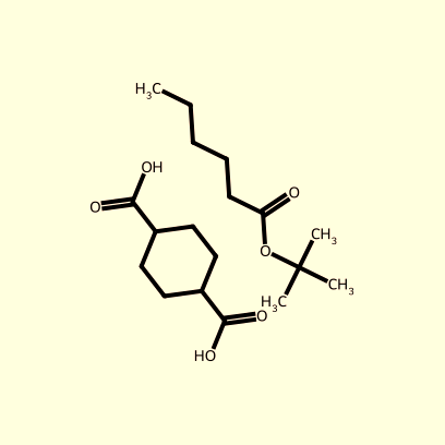 CCCCCC(=O)OC(C)(C)C.O=C(O)C1CCC(C(=O)O)CC1